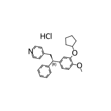 COc1ccc([C@H](Cc2ccncc2)c2ccccc2)cc1OC1CCCC1.Cl